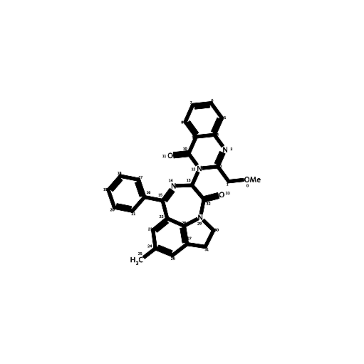 COCc1nc2ccccc2c(=O)n1C1N=C(c2ccccc2)c2cc(C)cc3c2N(CC3)C1=O